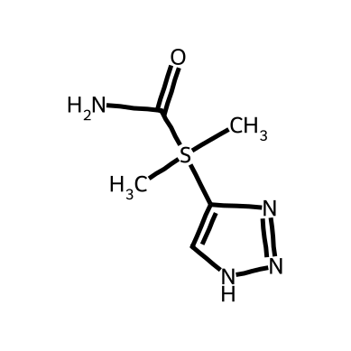 CS(C)(C(N)=O)c1c[nH]nn1